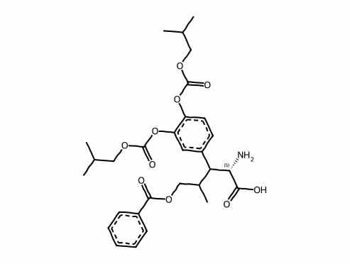 CC(C)COC(=O)Oc1ccc(C(C(C)COC(=O)c2ccccc2)[C@H](N)C(=O)O)cc1OC(=O)OCC(C)C